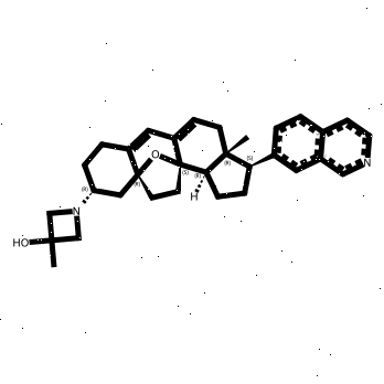 CC1(O)CN([C@@H]2CCC3=CC4=CC[C@]5(C)[C@@H](c6ccc7ccncc7c6)CC[C@H]5[C@@]45CC[C@]3(C2)O5)C1